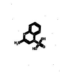 NC1=CC(P(=O)(O)O)c2ccccc2O1